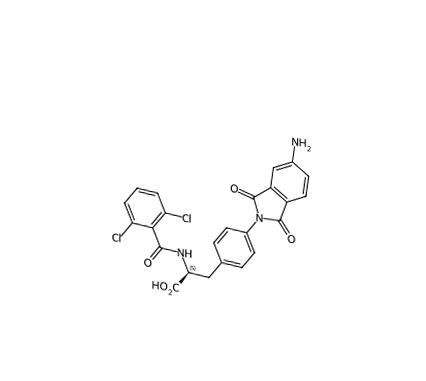 Nc1ccc2c(c1)C(=O)N(c1ccc(C[C@H](NC(=O)c3c(Cl)cccc3Cl)C(=O)O)cc1)C2=O